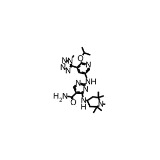 CC(C)Oc1ncc(Nc2ncc(C(N)=O)c(NC3CC(C)(C)N(C)C(C)(C)C3)n2)cc1-c1nnnn1C